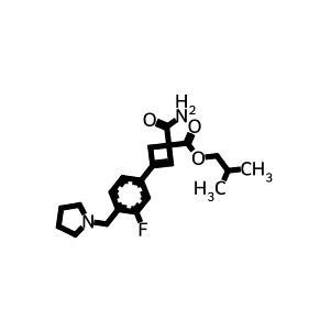 CC(C)COC(=O)C1(C(N)=O)C=C(c2ccc(CN3CCCC3)c(F)c2)C1